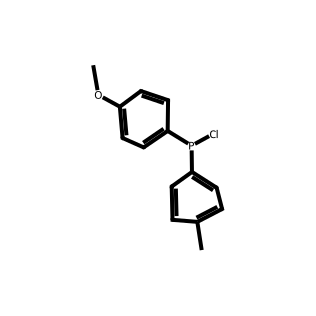 COc1ccc(P(Cl)c2ccc(C)cc2)cc1